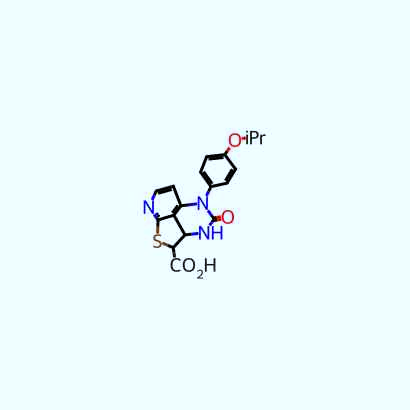 CC(C)Oc1ccc(N2C(=O)NC3c4c2ccnc4SC3C(=O)O)cc1